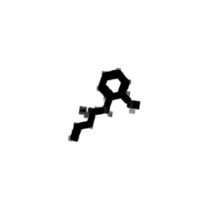 C=CC[SiH2]Oc1ccccc1O